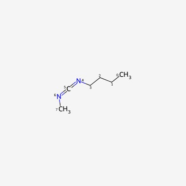 CCCCN=C=NC